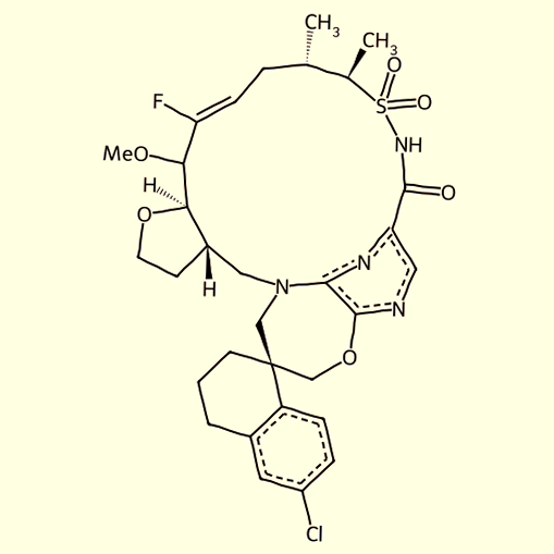 COC1/C(F)=C/C[C@H](C)[C@@H](C)S(=O)(=O)NC(=O)c2cnc3c(n2)N(C[C@@H]2CCO[C@@H]12)C[C@@]1(CCCc2cc(Cl)ccc21)CO3